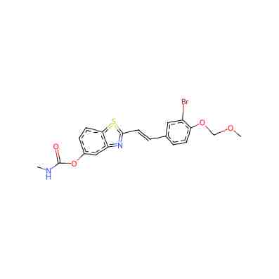 CNC(=O)Oc1ccc2sc(C=Cc3ccc(OCOC)c(Br)c3)nc2c1